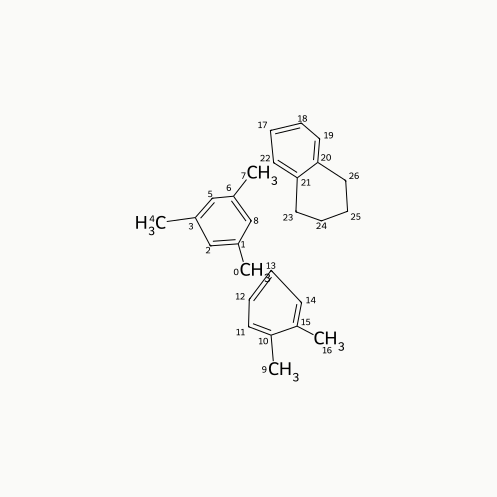 Cc1cc(C)cc(C)c1.Cc1ccccc1C.c1ccc2c(c1)CCCC2